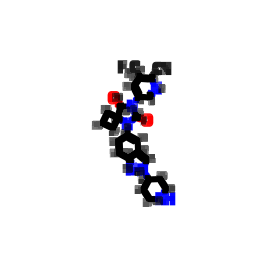 N#Cc1ncc(N2C(=O)N(c3ccc4nn(C5CCNCC5)cc4c3)C3(CCC3)C2=O)cc1C(F)(F)F